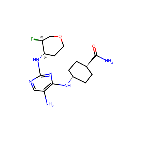 Nc1cnc(N[C@H]2CCOC[C@@H]2F)nc1N[C@H]1CC[C@H](C(N)=O)CC1